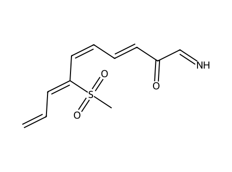 C=C/C=C(/C=C\C=C\C(=O)C=N)S(C)(=O)=O